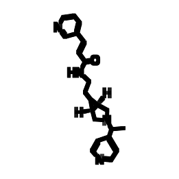 CC(c1ccncc1)N1C[C@@H]2C(CCNC(=O)/C=C/c3cccnc3)[C@@H]2C1